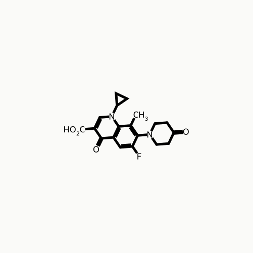 Cc1c(N2CCC(=O)CC2)c(F)cc2c(=O)c(C(=O)O)cn(C3CC3)c12